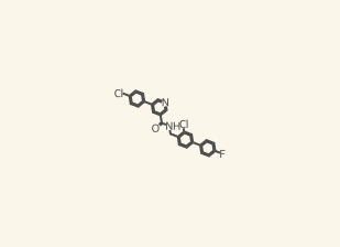 O=C(NCc1ccc(-c2ccc(F)cc2)cc1Cl)c1cncc(-c2ccc(Cl)cc2)c1